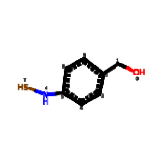 OCc1ccc(NS)cc1